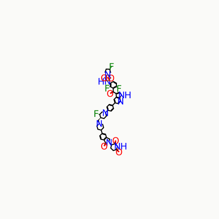 O=C1CCC(N2Cc3cc(C4CCN(C[C@@H]5CCN(c6ccc(-c7cnc8[nH]cc(C(=O)c9c(F)ccc(NS(=O)(=O)N%10CC[C@@H](F)C%10)c9F)c8c7)cc6)C[C@@H]5F)CC4)ccc3C2=O)C(=O)N1